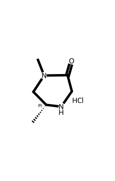 C[C@@H]1CN(C)C(=O)CN1.Cl